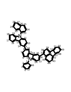 c1ccc(-n2c3ccc(-c4ccc5c(c4)c4ccccc4n5-c4cccc5ccccc45)cc3c3cc(-c4ccc5c6c(cccc46)-c4ccccc4-5)ccc32)cc1